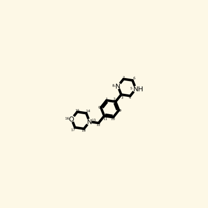 c1cc(C2CNCC[N]2)ccc1CN1CCOCC1